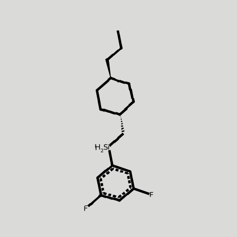 CCC[C@H]1CC[C@H](C[SiH2]c2cc(F)cc(F)c2)CC1